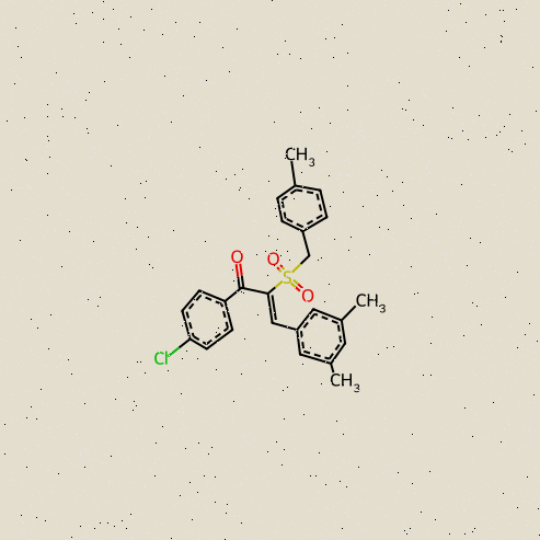 Cc1ccc(CS(=O)(=O)/C(=C\c2cc(C)cc(C)c2)C(=O)c2ccc(Cl)cc2)cc1